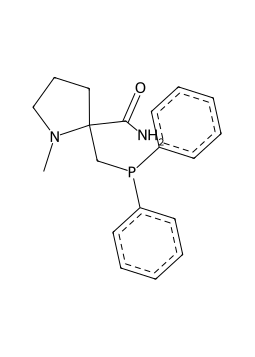 CN1CCCC1(CP(c1ccccc1)c1ccccc1)C(N)=O